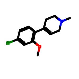 COc1cc(Cl)ccc1C1=CCN(C)CC1